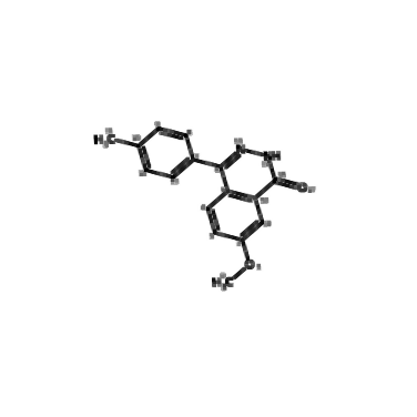 COc1ccc2c(-c3ccc(C)cc3)n[nH]c(=O)c2c1